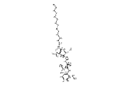 CCCCCCCCCCCCCCOc1ccc(OCC(=O)N(Cc2cccc[n+]2CC)C(C)=O)cc1C(C)(C)C.[I-]